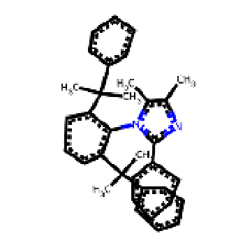 Cc1nc(-c2ccccc2)n(-c2c(C(C)(C)c3ccccc3)cccc2C(C)(C)c2ccccc2)c1C